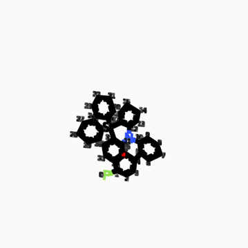 Fc1ccc(-c2ccccc2N2c3ccccc3[Si](c3ccccc3)(c3ccccc3)c3ccccc32)cc1